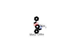 COc1ccc([C@]23CCN(C)[C@H]2CC2(CC3)OC[C@H](c3ccccc3)O2)cc1OC